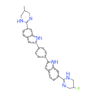 CC1CN=C(c2ccc3cc(-c4ccc(-c5cc6ccc(C7=NCC(F)CN7)cc6[nH]5)cc4)[nH]c3c2)NC1